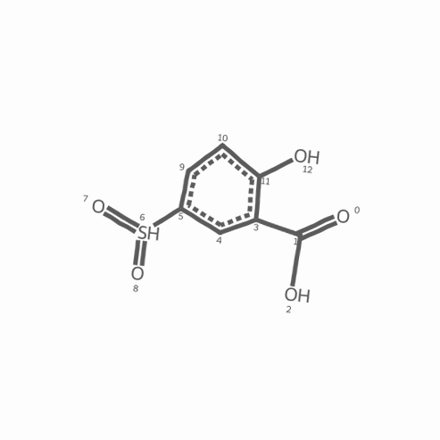 O=C(O)c1cc([SH](=O)=O)ccc1O